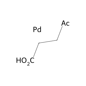 CC(=O)CCC(=O)O.[Pd]